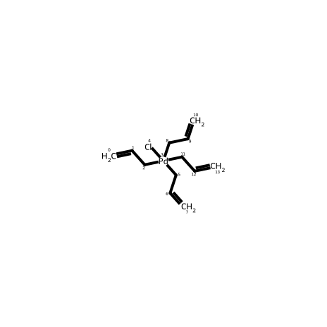 C=C[CH2][Pd]([Cl])([CH2]C=C)([CH2]C=C)[CH2]C=C